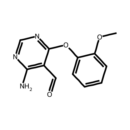 COc1ccccc1Oc1ncnc(N)c1C=O